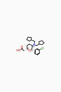 O=C(O)C[C@@H]1CC[C@@H](N(CC2CCCC2)CC2CCCC2)[C@H](c2cccc(Cl)c2)O1